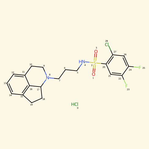 Cl.O=S(=O)(NCCCN1CCc2cccc3c2C1CC3)c1cc(F)c(F)cc1Cl